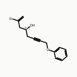 C=C(CC)C[C@@H](O)CC#CCOc1ccccc1